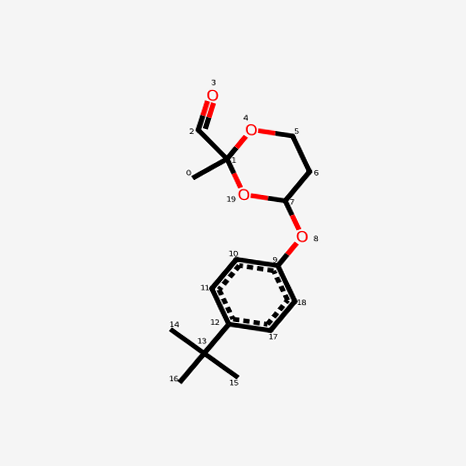 CC1(C=O)OCCC(Oc2ccc(C(C)(C)C)cc2)O1